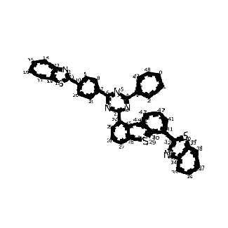 c1ccc(-c2nc(-c3ccc(-c4nc5ccccc5s4)cc3)nc(-c3cccc4sc5c(-c6nc7ccccc7s6)cccc5c34)n2)cc1